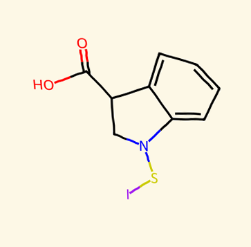 O=C(O)C1CN(SI)c2ccccc21